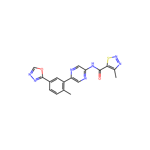 Cc1ccc(-c2nnco2)cc1-c1cnc(NC(=O)c2snnc2C)cn1